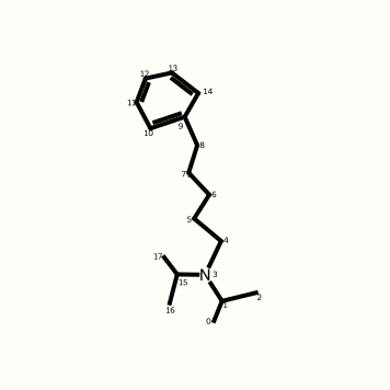 CC(C)N(CCC[CH]Cc1ccccc1)C(C)C